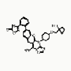 CCCc1c(Cc2ccc(-c3ccccc3-c3noc(=O)[nH]3)cc2)c(=O)n(C2CCC(OCC3(O)CCC3)CC2)c2ncnn12